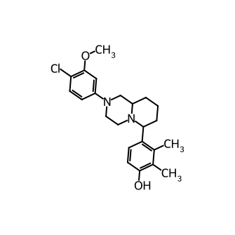 COc1cc(N2CCN3C(CCCC3c3ccc(O)c(C)c3C)C2)ccc1Cl